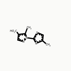 Cc1csc(-n2ncc(C(=O)O)c2C)n1